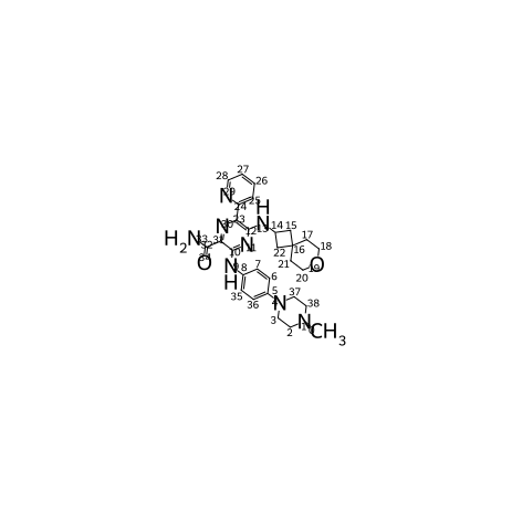 CN1CCN(c2ccc(Nc3nc(NC4CC5(CCOCC5)C4)c(-c4ccccn4)nc3C(N)=O)cc2)CC1